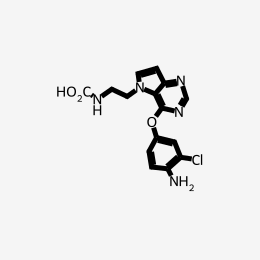 Nc1ccc(Oc2ncnc3ccn(CCNC(=O)O)c23)cc1Cl